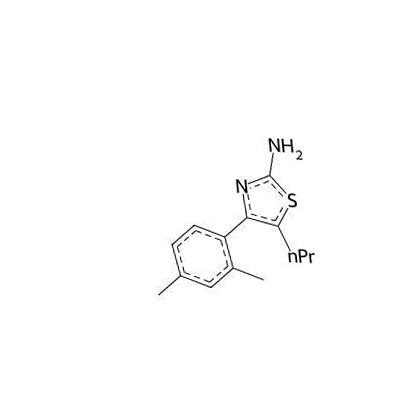 CCCc1sc(N)nc1-c1ccc(C)cc1C